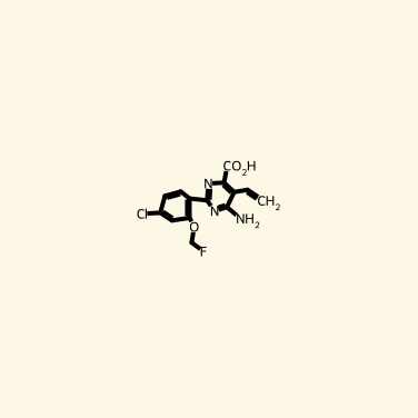 C=Cc1c(N)nc(-c2ccc(Cl)cc2OCF)nc1C(=O)O